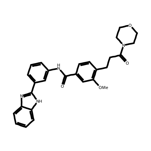 COc1cc(C(=O)Nc2cccc(-c3nc4ccccc4[nH]3)c2)ccc1CCC(=O)N1CCOCC1